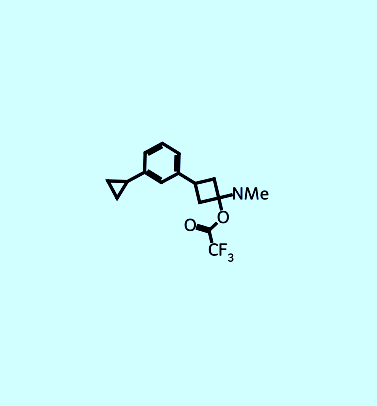 CNC1(OC(=O)C(F)(F)F)CC(c2cccc(C3CC3)c2)C1